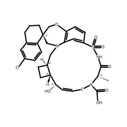 C[C@H]1C(=O)NS(=O)(=O)c2ccc3c(c2)N(C[C@@H]2CC[C@H]2[C@@H](O)/C=C\CN1C(=O)O)C[C@@]1(CCCc2cc(Cl)ccc21)CO3